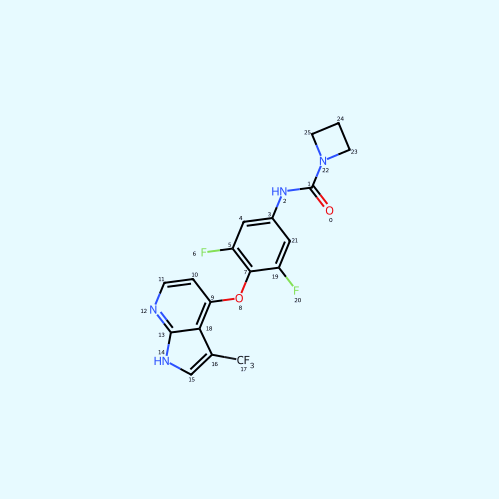 O=C(Nc1cc(F)c(Oc2ccnc3[nH]cc(C(F)(F)F)c23)c(F)c1)N1CCC1